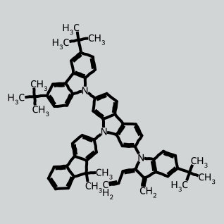 C=C/C=c1\c(=C)c2cc(C(C)(C)C)ccc2n1-c1ccc2c3ccc(-n4c5ccc(C(C)(C)C)cc5c5cc(C(C)(C)C)ccc54)cc3n(-c3ccc4c(c3)C(C)(C)c3ccccc3-4)c2c1